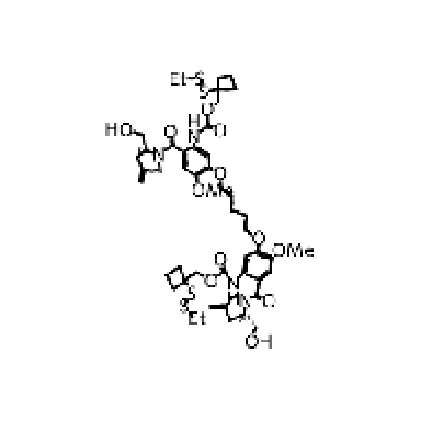 C=C1C[C@@H](CO)N(C(=O)c2cc(OC)c(OCCCCCOc3cc(NC(=O)OCC4(SSCC)CCC4)c(C(=O)N4CC(=C)C[C@H]4CO)cc3OC)cc2NC(=O)OCC2(SSCC)CCC2)C1